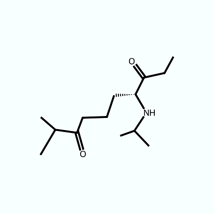 CCC(=O)[C@@H](CCCC(=O)C(C)C)NC(C)C